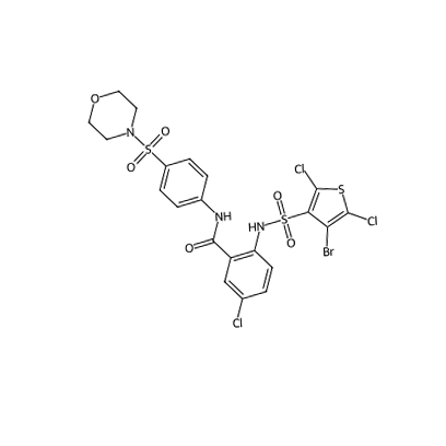 O=C(Nc1ccc(S(=O)(=O)N2CCOCC2)cc1)c1cc(Cl)ccc1NS(=O)(=O)c1c(Cl)sc(Cl)c1Br